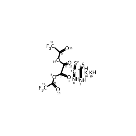 N=C=S.N=C=S.O=C(OC(=O)C(F)(F)F)C(=O)OC(=O)C(F)(F)F.[KH].[KH]